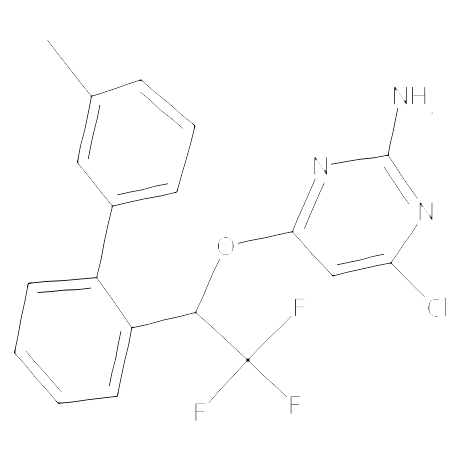 Cc1cccc(-c2ccccc2C(Oc2cc(Cl)nc(N)n2)C(F)(F)F)c1